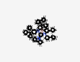 c1ccc(-c2cccc(N3c4cc(-c5ccccc5)ccc4B4c5cc([Si](c6ccccc6)(c6ccccc6)c6ccccc6)ccc5N(c5ccc([Si](c6ccccc6)(c6ccccc6)c6ccccc6)cc5)c5cc(-n6c7ccccc7c7ccccc76)cc3c54)c2)cc1